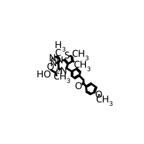 COc1ccc(C(=O)Cc2ccc(C3=N[C@@H](C(C)C(=O)O)c4nnc(C)n4-c4sc(C)c(C)c43)cc2)cc1